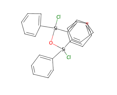 Cl[Si](O[Si](Cl)(c1ccccc1)c1ccccc1)(c1ccccc1)c1ccccc1